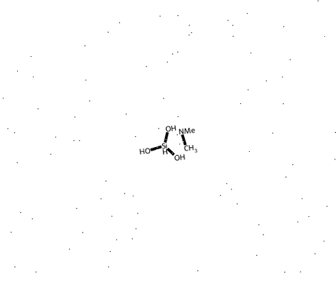 CNC.O[SiH](O)O